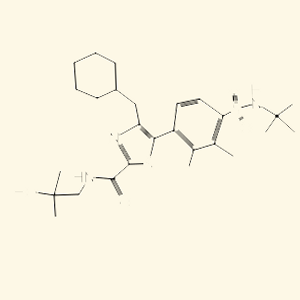 Cc1c(-c2sc(C(=O)NCC(C)(C)O)nc2CC2CCCCC2)ccc(S(=O)(=O)NC(C)(C)C)c1C